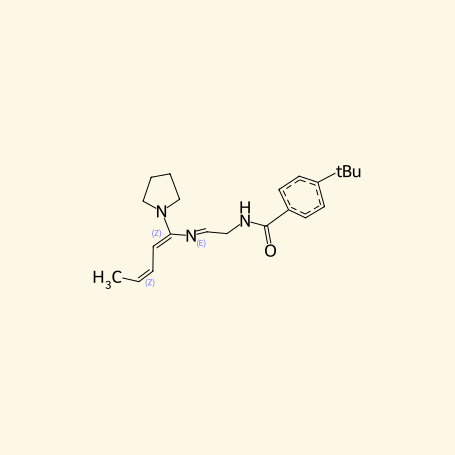 C\C=C/C=C(\N=C\CNC(=O)c1ccc(C(C)(C)C)cc1)N1CCCC1